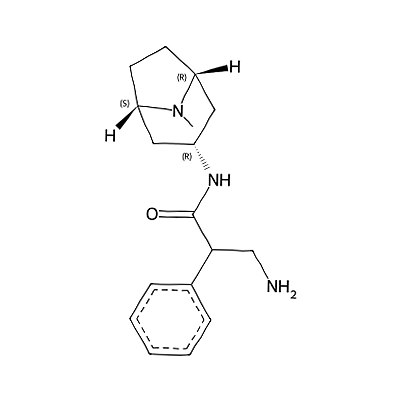 CN1[C@@H]2CC[C@H]1C[C@@H](NC(=O)C(CN)c1ccccc1)C2